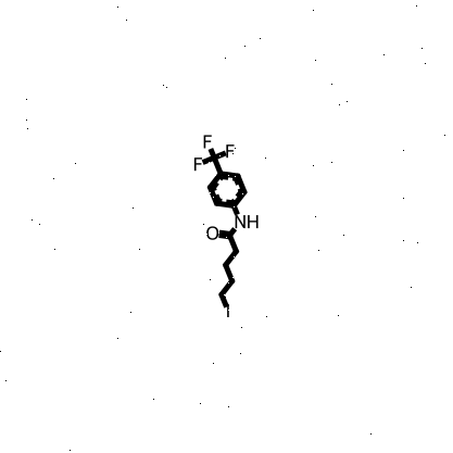 O=C(CCCCI)Nc1ccc(C(F)(F)F)cc1